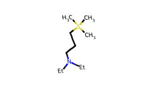 CCN(CC)CCCS(C)(C)C